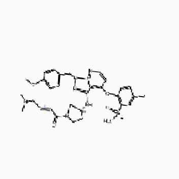 COc1ccc(Cn2nc(N[C@@H]3CCN(C(=O)/C=C/CN(C)C)C3)c3c(Oc4ccc(C)cc4S(N)(=O)=O)ccnc32)cc1